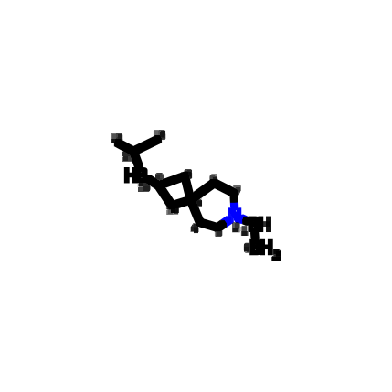 BBN1CCC2(CC1)CC(BC(C)C)C2